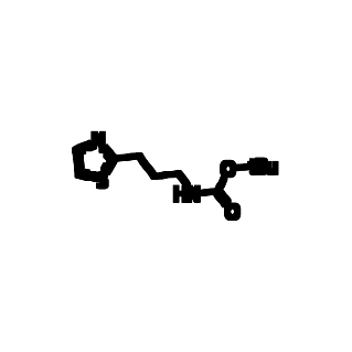 CC(C)(C)OC(=O)NCCCc1nccs1